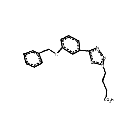 O=C(O)CCCn1nnc(-c2cccc(OCc3ccccc3)c2)n1